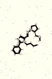 CCCCn1c(/C=N/N2CCC[C@H]2COC)cnc1-c1ccccc1